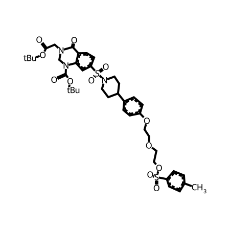 Cc1ccc(S(=O)(=O)OCCOCCOc2ccc(C3CCN(S(=O)(=O)c4ccc5c(c4)N(C(=O)OC(C)(C)C)CN(CC(=O)OC(C)(C)C)C5=O)CC3)cc2)cc1